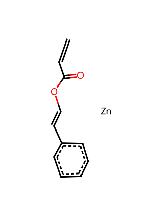 C=CC(=O)OC=Cc1ccccc1.[Zn]